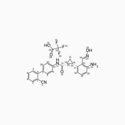 N#Cc1ccccc1-c1ccc(NC(=O)[C@@H]2C[C@@H]2c2cccc(N)c2C=NO)cc1.O=C(O)C(F)(F)F